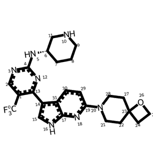 FC(F)(F)c1cnc(N[C@H]2CCCNC2)nc1-c1c[nH]c2nc(N3CCC4(CCO4)CC3)ccc12